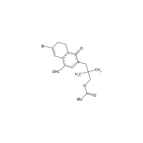 CC(C)(COC(=O)C(C)(C)C)Cn1cc(C=O)c2c(c1=O)CCC(Br)=C2